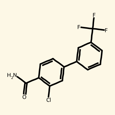 NC(=O)c1ccc(-c2cccc(C(F)(F)F)c2)cc1Cl